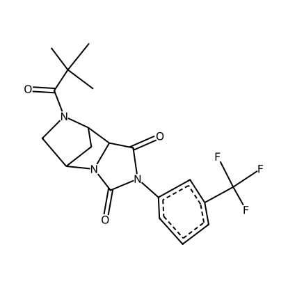 CC(C)(C)C(=O)N1CC2CC1C1C(=O)N(c3cccc(C(F)(F)F)c3)C(=O)N21